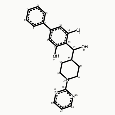 Oc1cc(-c2ccccc2)cc(Cl)c1C(O)C1CCN(c2ncccn2)CC1